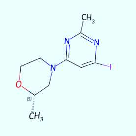 Cc1nc(I)cc(N2CCO[C@@H](C)C2)n1